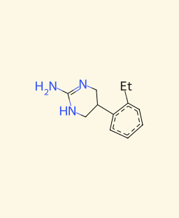 CCc1ccccc1C1CN=C(N)NC1